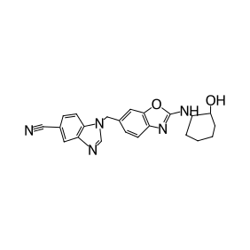 N#Cc1ccc2c(c1)ncn2Cc1ccc2nc(NC3CCCCC3O)oc2c1